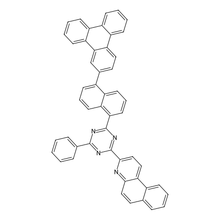 c1ccc(-c2nc(-c3ccc4c(ccc5ccccc54)n3)nc(-c3cccc4c(-c5ccc6c7ccccc7c7ccccc7c6c5)cccc34)n2)cc1